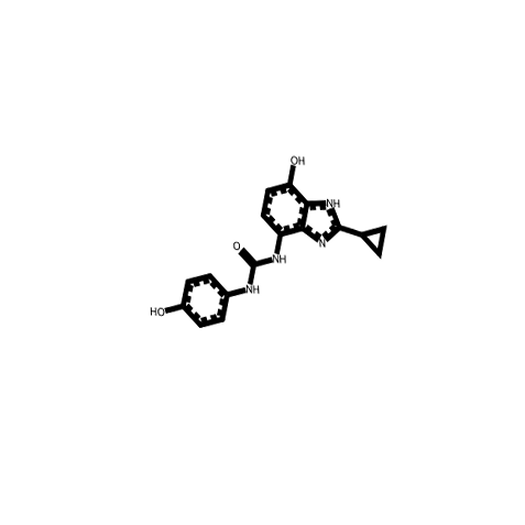 O=C(Nc1ccc(O)cc1)Nc1ccc(O)c2[nH]c(C3CC3)nc12